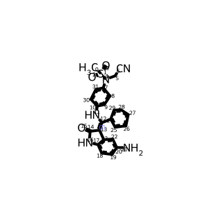 CS(=O)(=O)N(CC#N)c1ccc(N/C(=C2\C(=O)Nc3ccc(N)cc32)c2ccccc2)cc1